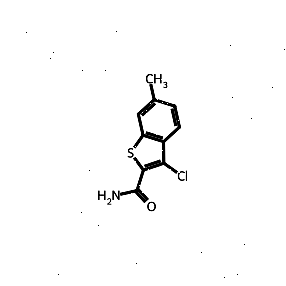 Cc1ccc2c(Cl)c(C(N)=O)sc2c1